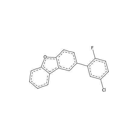 Fc1ccc(Cl)cc1-c1ccc2oc3ccccc3c2c1